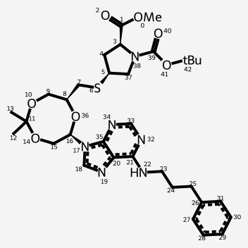 COC(=O)[C@@H]1C[C@H](SC[C@@H]2COC(C)(C)OC[C@H](n3cnc4c(NCCCc5ccccc5)ncnc43)O2)CN1C(=O)OC(C)(C)C